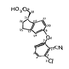 N#Cc1c(Cl)cccc1Oc1ccc2c(c1)CC[C@H]2CC(=O)O